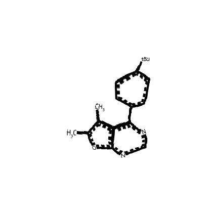 Cc1oc2ncnc(-c3ccc(C(C)(C)C)cc3)c2c1C